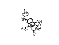 CNc1cc(NC2CCNCC2)ccc1C(=N)C1CCC(=O)NC1=O